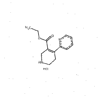 CCOC(=O)C1=C(c2ccccn2)CCNC1.Cl